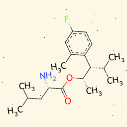 Cc1cc(F)ccc1[C@H](C(C)C)[C@H](C)OC(=O)[C@@H](N)CC(C)C